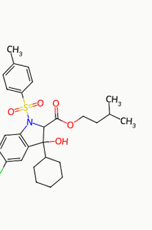 Cc1ccc(S(=O)(=O)N2c3ccc(Cl)cc3C(O)(C3CCCCC3)C2C(=O)OCCC(C)C)cc1